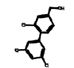 OCc1c[c]c(-c2cc(Cl)cc(Cl)c2)c(Cl)c1